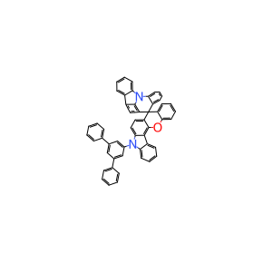 c1ccc(-c2cc(-c3ccccc3)cc(-n3c4ccccc4c4c5c(ccc43)C3(c4ccccc4O5)c4ccccc4-n4c5ccccc5c5cccc3c54)c2)cc1